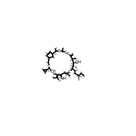 C=C1CCC(C)CC(C)[C@]2(C)C=CCC(CCC(C3CC3)CNC(=C(C)C)C(=N)/C=C(\C)CC(CC[C@H](C)CC)[C@@H](C)[C@H](O)C1C)C2